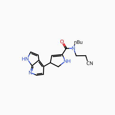 CCCCN(CCC#N)C(=O)C1=CC(c2ccnc3[nH]ccc23)CN1